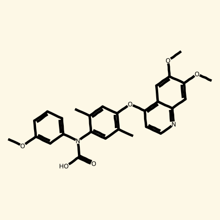 COc1cccc(N(C(=O)O)c2cc(C)c(Oc3ccnc4cc(OC)c(OC)cc34)cc2C)c1